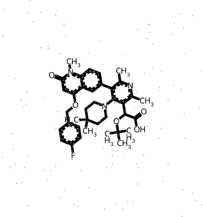 Cc1nc(C)c(C(OC(C)(C)C)C(=O)O)c(N2CCC(C)(C)CC2)c1-c1ccc2c(c1)c(OCc1ccc(F)cc1)cc(=O)n2C